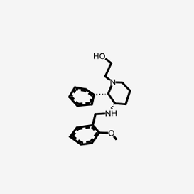 COc1ccccc1CN[C@H]1CCCN(CCO)[C@H]1c1ccccc1